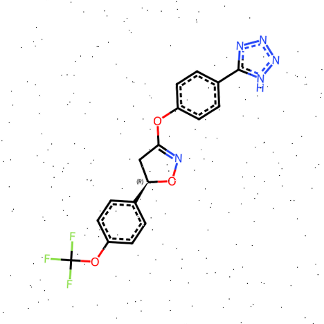 FC(F)(F)Oc1ccc([C@H]2CC(Oc3ccc(-c4nnn[nH]4)cc3)=NO2)cc1